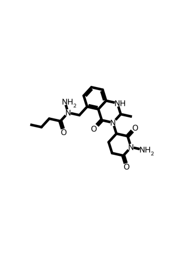 CCCC(=O)N(N)Cc1cccc2c1C(=O)N(C1CCC(=O)N(N)C1=O)C(C)N2